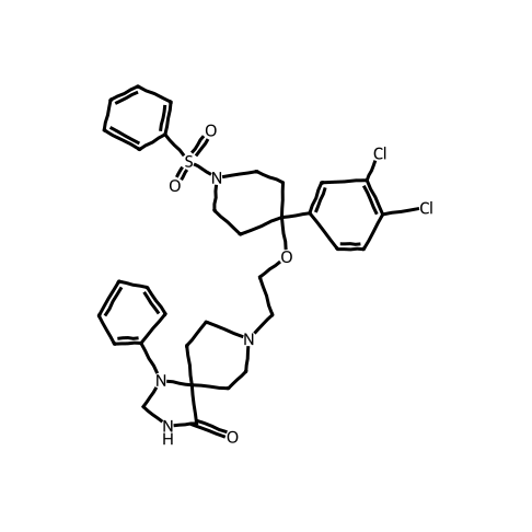 O=C1NCN(c2ccccc2)C12CCN(CCOC1(c3ccc(Cl)c(Cl)c3)CCN(S(=O)(=O)c3ccccc3)CC1)CC2